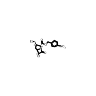 CCS[C@@H]1CC2[C@H](CC)C(=O)N2[C@H]1C(=O)OCc1ccc([N+](=O)[O-])cc1